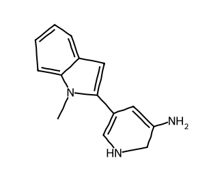 Cn1c(C2=CNCC(N)=C2)cc2ccccc21